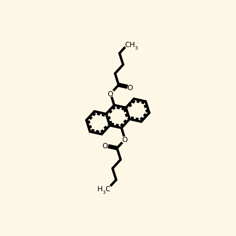 CCCCC(=O)Oc1c2ccccc2c(OC(=O)CCCC)c2ccccc12